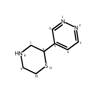 [c]1nnccc1C1CNCCS1